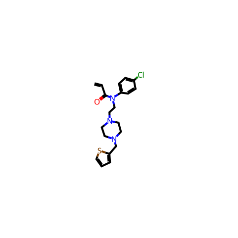 C=CC(=O)N(CCN1CCN(Cc2cccs2)CC1)c1ccc(Cl)cc1